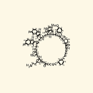 COc1ccc(C[C@H]2NC(=O)[C@@H](Cc3c[nH]cn3)NC(=O)[C@@H](CC(=O)O)NC(=O)[C@@H](Cc3c[nH]c4ccc(F)cc34)NC[C@@H](Cc3c[nH]c4ccc(F)cc34)NC(=O)[C@H](C(C)(C)C)NC(=O)[C@@H](CCCCN)NC(=O)CCSCc3cccc(c3)CSCCNC(=O)[C@@]3(C)CCCN3C2=O)cc1